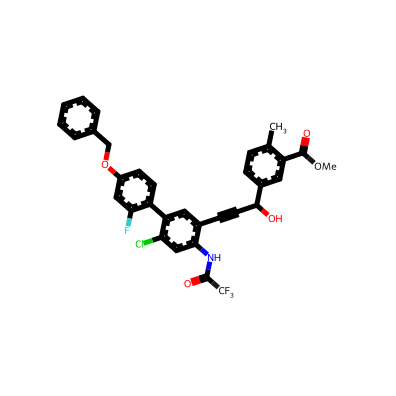 COC(=O)c1cc(C(O)C#Cc2cc(-c3ccc(OCc4ccccc4)cc3F)c(Cl)cc2NC(=O)C(F)(F)F)ccc1C